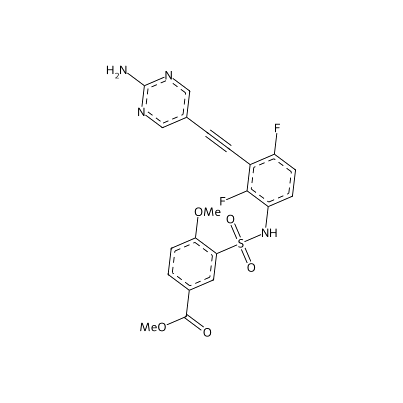 COC(=O)c1ccc(OC)c(S(=O)(=O)Nc2ccc(F)c(C#Cc3cnc(N)nc3)c2F)c1